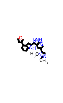 Cc1ncc(-c2cnc3[nH]nc(-c4cc5c(-c6ccoc6)cccc5[nH]4)c3c2)n1C